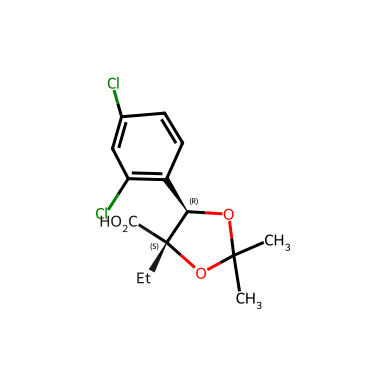 CC[C@]1(C(=O)O)OC(C)(C)O[C@@H]1c1ccc(Cl)cc1Cl